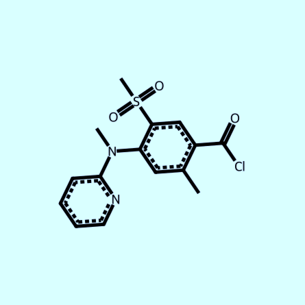 Cc1cc(N(C)c2ccccn2)c(S(C)(=O)=O)cc1C(=O)Cl